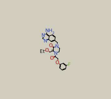 CCOC[C@H]1C(=O)N(Cc2ccc3c(N)ncnc3c2)CCN1C(=O)COc1cccc(F)c1